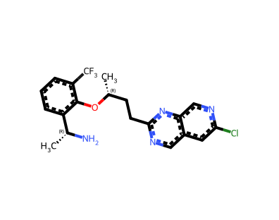 C[C@H](CCc1ncc2cc(Cl)ncc2n1)Oc1c([C@@H](C)N)cccc1C(F)(F)F